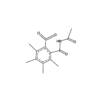 CC(=O)NC(=O)c1c(C)c(C)c(C)c(C)c1I(=O)=O